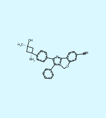 C[C@]1(O)C[C@@](N)(c2ccc(-c3nc4n(c3-c3ccccc3)COc3cc(C#N)ccc3-4)cc2)C1